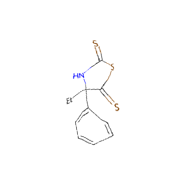 CCC1(c2ccccc2)NC(=S)SC1=S